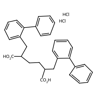 Cl.Cl.O=C(O)C(CCC(Cc1ccccc1-c1ccccc1)C(=O)O)Cc1ccccc1-c1ccccc1